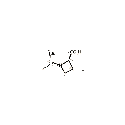 C[C@@H]1CN([S@+]([O-])C(C)(C)C)[C@H]1C(=O)O